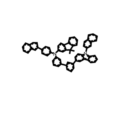 CC1(C)c2ccccc2-c2ccc(N(c3ccc(-c4ccc5ccccc5c4)cc3)c3cccc(-c4cccc(-c5ccc6c(c5)c5ccccc5n6-c5ccc6ccccc6c5)c4)c3)cc21